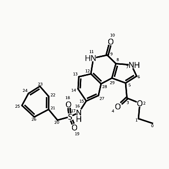 CCOC(=O)c1c[nH]c2c(=O)[nH]c3ccc(NS(=O)(=O)Cc4ccccc4)cc3c12